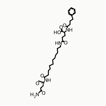 NC(=O)CC[C@@H](C=O)NC(=O)CCCCCCCCCCCNC(=O)CCC(NC(=O)CCCc1ccccc1)C(=O)O